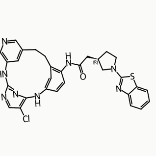 O=C(C[C@H]1CCN(c2nc3ccccc3s2)C1)Nc1ccc2cc1CCc1cncc(c1)Nc1ncc(Cl)c(n1)N2